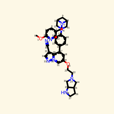 COc1ccc(CN2C3CC2CN(c2ccc(-c4cc(OCCN5CC6CCNC6C5)cn5ncc(C#N)c45)cc2)C3)cn1